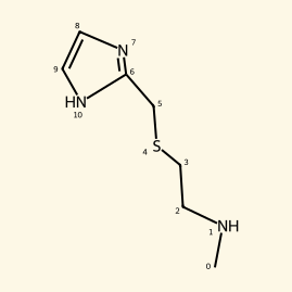 CNCCSCc1ncc[nH]1